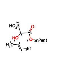 CC=CCC.CCCCCOC(=O)C(O)S(=O)(=O)O